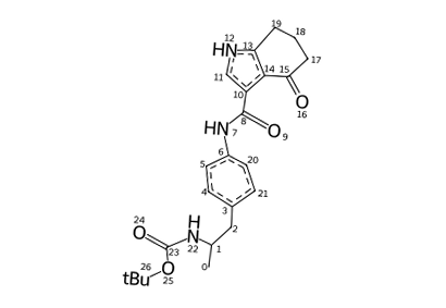 CC(Cc1ccc(NC(=O)c2c[nH]c3c2C(=O)CCC3)cc1)NC(=O)OC(C)(C)C